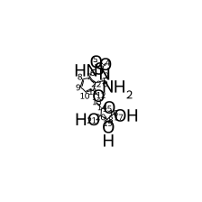 NC1=NS(=O)(=O)Nc2cccc(OC[C@H]3OC(O)C(O)C3O)c21